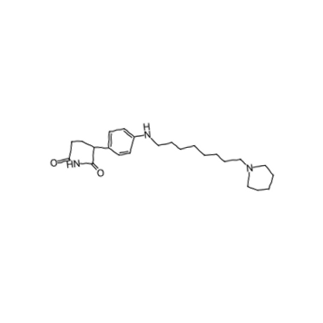 O=C1CCC(c2ccc(NCCCCCCCCN3CCCCC3)cc2)C(=O)N1